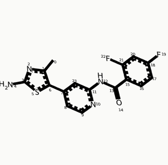 Cc1nc(N)sc1-c1ccnc(NC(=O)c2ccc(F)cc2F)c1